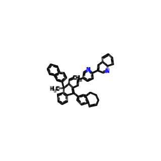 C=CC1C(/C=C/c2ccc(C3=CC4C=CC=CC4N=C3)nc2)=C(c2ccc3c(c2)CCCC=C3)c2ccccc2C1(C)c1ccc2ccccc2c1